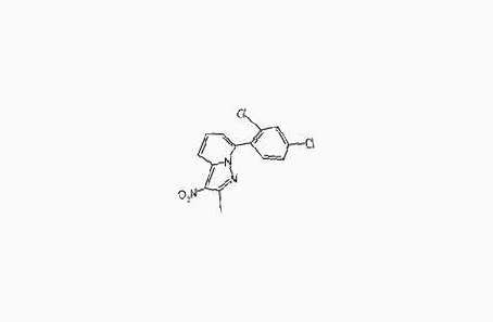 Cc1nn2c(-c3ccc(Cl)cc3Cl)cccc2c1[N+](=O)[O-]